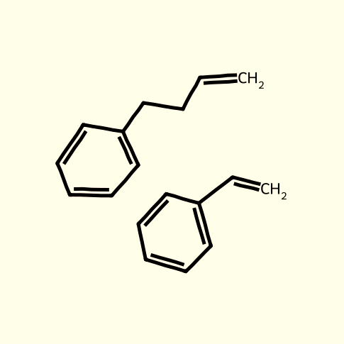 C=CCCc1ccccc1.C=Cc1ccccc1